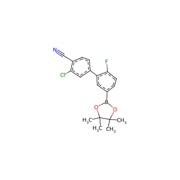 CC1(C)OB(c2ccc(F)c(-c3ccc(C#N)c(Cl)c3)c2)OC1(C)C